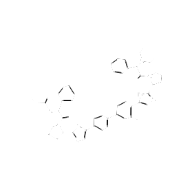 CCN(CC)[C@@H](C(=O)N1CCC[C@H]1c1ncc(-c2ccc(-c3ccc(-c4cnc([C@@H]5CCCN5C(=O)[C@H](NC(=O)OC)c5ccccc5)[nH]4)cc3)cc2F)[nH]1)c1ccccc1